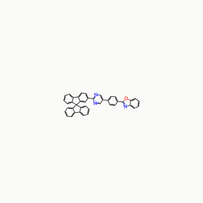 c1ccc2c(c1)-c1ccccc1C21c2ccccc2-c2ccc(-c3ncc(-c4ccc(-c5nc6ccccc6o5)cc4)cn3)cc21